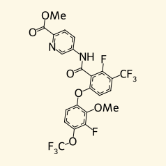 COC(=O)c1ccc(NC(=O)c2c(Oc3ccc(OC(F)(F)F)c(F)c3OC)ccc(C(F)(F)F)c2F)cn1